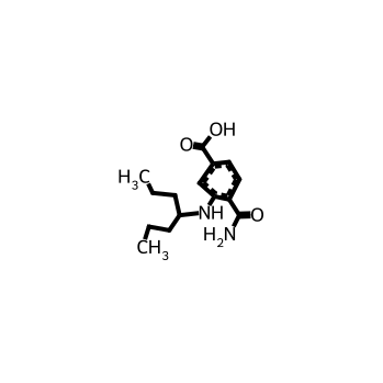 CCCC(CCC)Nc1cc(C(=O)O)ccc1C(N)=O